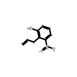 C=CCc1c(O)cccc1[N+]([O-])=S